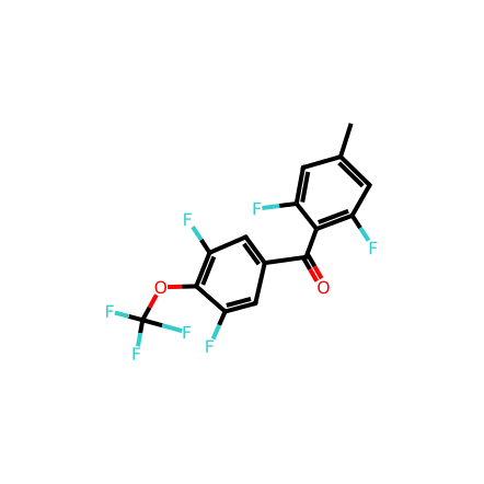 Cc1cc(F)c(C(=O)c2cc(F)c(OC(F)(F)F)c(F)c2)c(F)c1